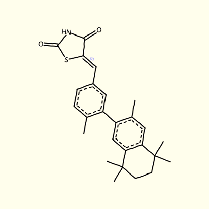 Cc1ccc(/C=C2\SC(=O)NC2=O)cc1-c1cc2c(cc1C)C(C)(C)CCC2(C)C